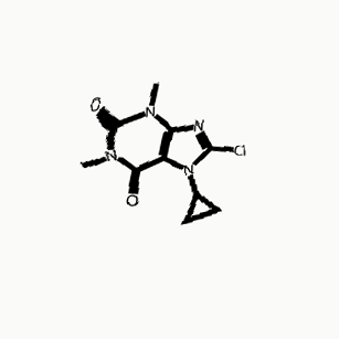 Cn1c(=O)c2c(nc(Cl)n2C2CC2)n(C)c1=O